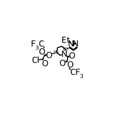 CCn1nccc1[C@@H]1CC[C@H](C)CN1C(=O)C(=O)OCC(F)(F)F.O=C(Cl)C(=O)OCC(F)(F)F